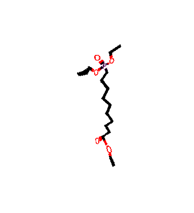 CCOC(=O)CCCCCCCCCP(=O)(OCC)OCC